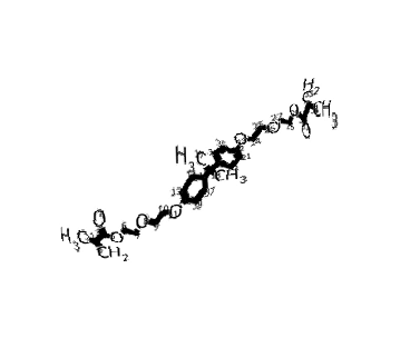 C=C(C)C(=O)OCCOCCOC1=CCC(C(C)(C)c2ccc(OCCOCCOC(=O)C(=C)C)cc2)C=C1